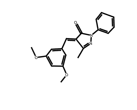 COc1cc(/C=C2/C(=O)N(c3ccccc3)N=C2C)cc(OC)c1